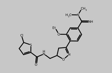 CCOc1cc(C(=N)N(C)C)ccc1C1=NOC(CNC(=O)C2=CCC(Cl)S2)C1